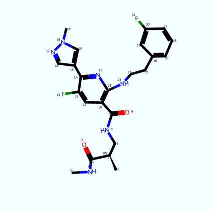 CNC(=O)[C@H](C)CNC(=O)c1cc(F)c(-c2cnn(C)c2)nc1NCCc1cccc(F)c1